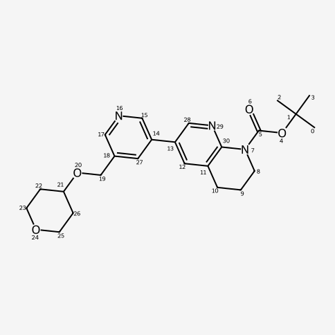 CC(C)(C)OC(=O)N1CCCc2cc(-c3cncc(COC4CCOCC4)c3)cnc21